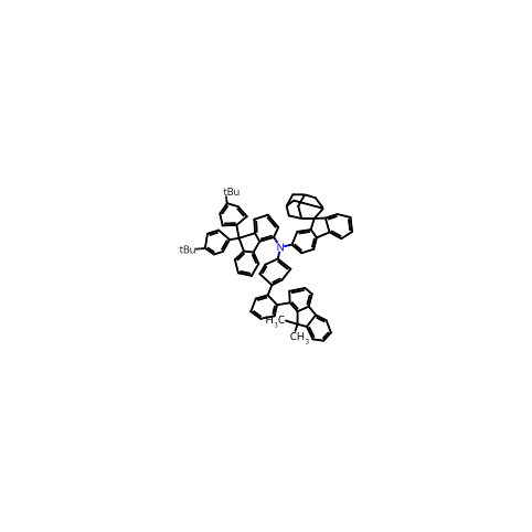 CC(C)(C)c1ccc(C2(c3ccc(C(C)(C)C)cc3)c3ccccc3-c3c(N(c4ccc(-c5ccccc5-c5cccc6c5C(C)(C)c5ccccc5-6)cc4)c4ccc5c(c4)C4(c6ccccc6-5)C5CC6CC(C5)CC4C6)cccc32)cc1